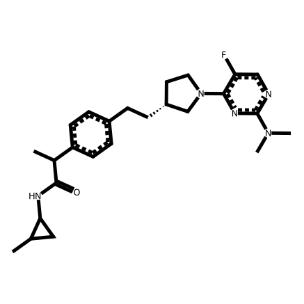 CC(C(=O)NC1CC1C)c1ccc(CC[C@@H]2CCN(c3nc(N(C)C)ncc3F)C2)cc1